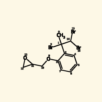 CC(Br)(c1ccccc1OCC1CO1)C(Br)Br